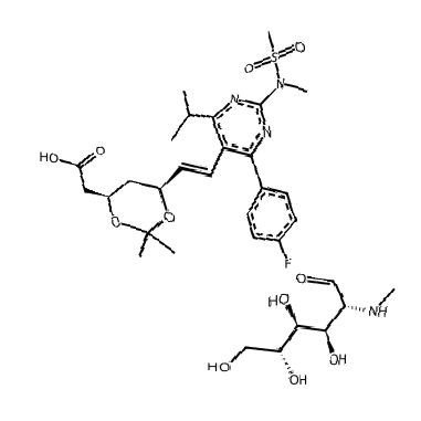 CC(C)c1nc(N(C)S(C)(=O)=O)nc(-c2ccc(F)cc2)c1C=C[C@@H]1C[C@H](CC(=O)O)OC(C)(C)O1.CN[C@@H](C=O)[C@@H](O)[C@H](O)[C@H](O)CO